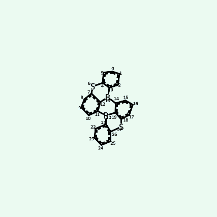 c1ccc2c(c1)Sc1cccc3c1B2c1cccc2c1B3c1ccccc1S2